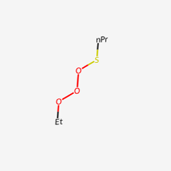 CCCSOOOCC